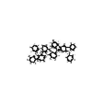 c1ccc(-n2c3ccccc3c3cc4c5cccc6c5n(c4cc32)-c2cccc3c2B6c2cccc4c5c(ccc6c7ccccc7n(-c7ccccc7)c65)n-3c24)cc1